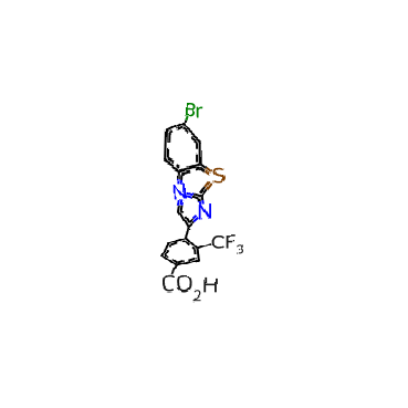 O=C(O)c1ccc(-c2cn3c(n2)sc2cc(Br)ccc23)c(C(F)(F)F)c1